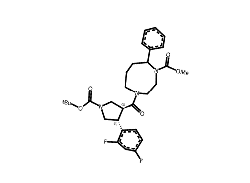 COC(=O)N1CCN(C(=O)[C@@H]2CN(C(=O)OC(C)(C)C)C[C@H]2c2ccc(F)cc2F)CCCC1c1ccccc1